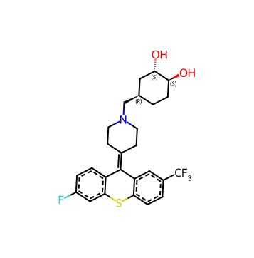 O[C@H]1CC[C@@H](CN2CCC(=C3c4ccc(F)cc4Sc4ccc(C(F)(F)F)cc43)CC2)C[C@@H]1O